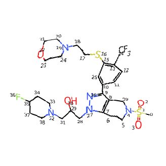 CS(=O)(=O)N1CCc2c(c(-c3ccc(C(F)(F)F)c(SCCN4CCOCC4)c3)nn2CC(O)CN2CCC(F)CC2)C1